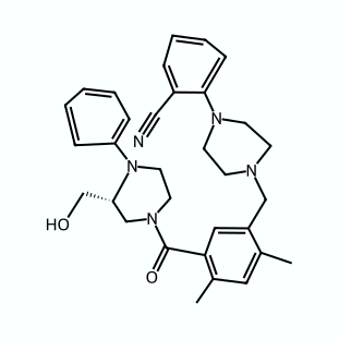 Cc1cc(C)c(C(=O)N2CCN(c3ccccc3)[C@@H](CO)C2)cc1CN1CCN(c2ccccc2C#N)CC1